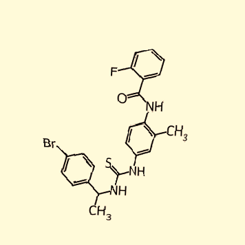 Cc1cc(NC(=S)NC(C)c2ccc(Br)cc2)ccc1NC(=O)c1ccccc1F